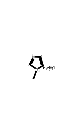 Cl.Cn1ccnc1.[AlH3]